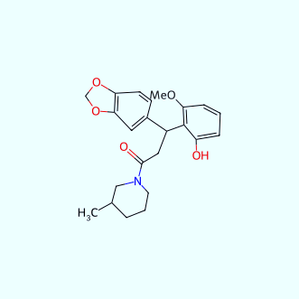 COc1cccc(O)c1C(CC(=O)N1CCCC(C)C1)c1ccc2c(c1)OCO2